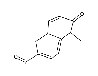 CC1C(=O)C=CC2CC([C]=O)=CC=C21